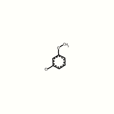 COc1[c]ccc(Cl)c1